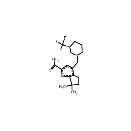 CC1(C)CCc2c(CN3CCC[C@H](C(F)(F)F)C3)cc(C(N)=O)nc21